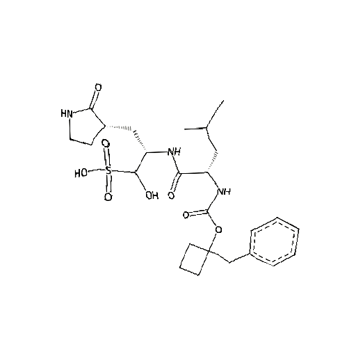 CC(C)C[C@H](NC(=O)OC1(Cc2ccccc2)CCC1)C(=O)N[C@@H](C[C@@H]1CCNC1=O)C(O)S(=O)(=O)O